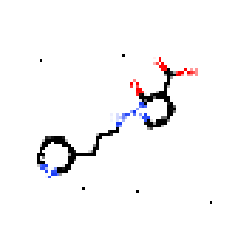 O=C(O)c1cccn(NCCCc2cccnc2)c1=O